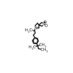 CCC(C)(C)c1ccc(CC[C@@H](C)N2CCC3(C2)CS(=O)(=O)C3)cc1